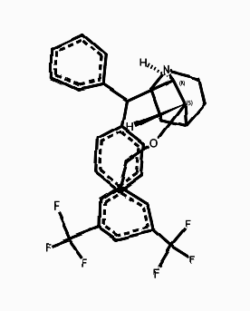 FC(F)(F)c1cc(CO[C@H]2C3CCN(CC3)[C@@H]2C(c2ccccc2)c2ccccc2)cc(C(F)(F)F)c1